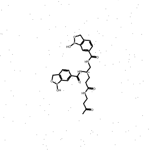 CC(=O)CCNC(=O)CC[C@H](CNC(=O)c1ccc2c(c1)B(O)OC2)NC(=O)c1ccc2c(c1)B(O)OC2